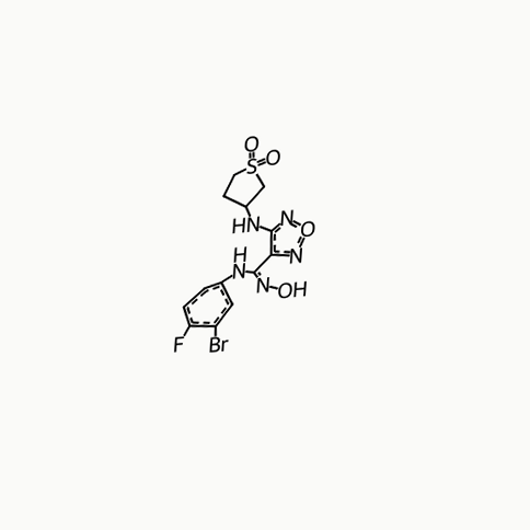 O=S1(=O)CCC(Nc2nonc2C(=NO)Nc2ccc(F)c(Br)c2)C1